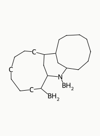 BC1CCCCCCCC2CC1N(B)C1CCCCCCCC2C1